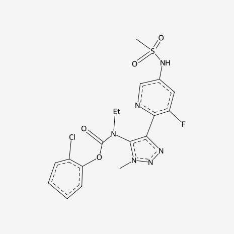 CCN(C(=O)Oc1ccccc1Cl)c1c(-c2ncc(NS(C)(=O)=O)cc2F)nnn1C